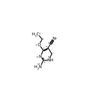 CCOC1=C(C#N)[CH]NC(N)=N1